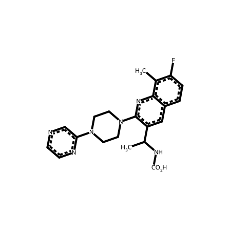 Cc1c(F)ccc2cc(C(C)NC(=O)O)c(N3CCN(c4cnccn4)CC3)nc12